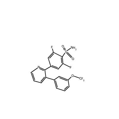 NS(=O)(=O)c1c(F)cc(-c2ncccc2-c2cccc(OC(F)(F)F)c2)cc1F